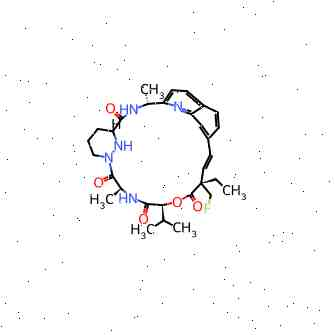 CC[C@]1(CF)/C=C/c2ccc3ccc(nc3c2)[C@@H](C)NC(=O)[C@@H]2CCCN(N2)C(=O)[C@H](C)NC(=O)[C@H](C(C)C)OC1=O